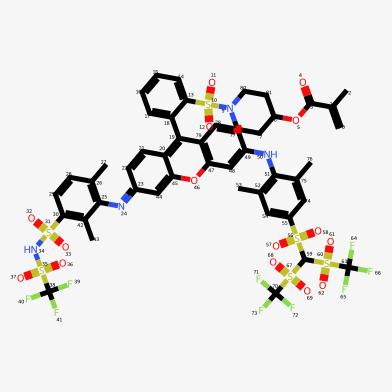 C=C(C)C(=O)OC1CCN(S(=O)(=O)c2ccccc2-c2c3cc/c(=N\c4c(C)ccc(S(=O)(=O)NS(=O)(=O)C(F)(F)F)c4C)cc-3oc3cc(Nc4c(C)cc(S(=O)(=O)C(S(=O)(=O)C(F)(F)F)S(=O)(=O)C(F)(F)F)cc4C)ccc23)CC1